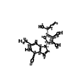 C=C=C(O)[C@H]1O[C@@H](n2cnc3c(=O)[nH]c(N)nc32)[C@H](O)[C@@H]1O